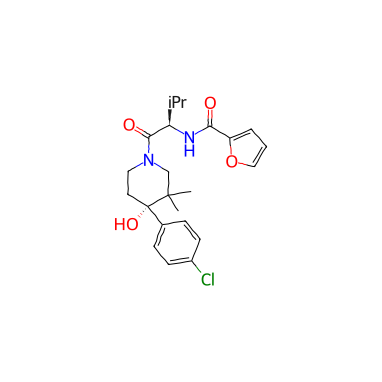 CC(C)[C@@H](NC(=O)c1ccco1)C(=O)N1CC[C@](O)(c2ccc(Cl)cc2)C(C)(C)C1